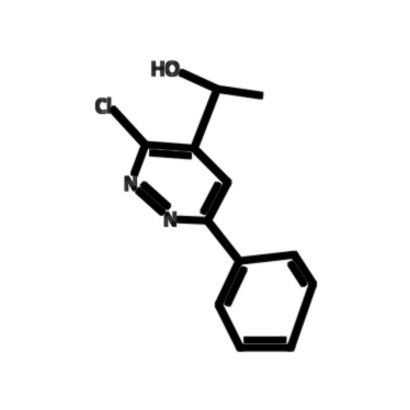 CC(O)c1cc(-c2ccccc2)nnc1Cl